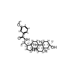 COc1cccc(C(=O)N[C@H](C)C2CC[C@H]3[C@@H]4CC[C@@H]5C[C@](C)(O)CC[C@@H]5[C@H]4CC[C@]23C)c1